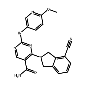 COc1ccc(Nc2ncc(C(N)=O)c(N3Cc4cccc(C#N)c4C3)n2)cn1